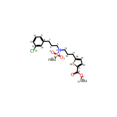 CCCCS(=O)(=O)N(CCCc1cccc(Cl)c1)CCCc1ccc(C(=O)OC(C)(C)C)s1